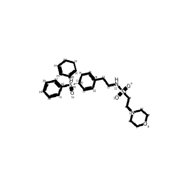 O=S(=O)(CCN1CCOCC1)NCCC1=CC[C@@H]([SH](=O)(C2=CCCC=C2)c2ccccc2)C=C1